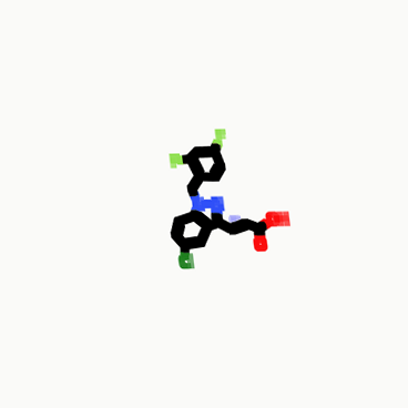 O=C(O)/C=C/c1nn(Cc2ccc(F)cc2F)c2ccc(Cl)cc12